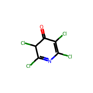 O=C1C(Cl)=C(Cl)N=C(Cl)C1Cl